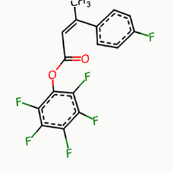 CC(=CC(=O)Oc1c(F)c(F)c(F)c(F)c1F)c1ccc(F)cc1